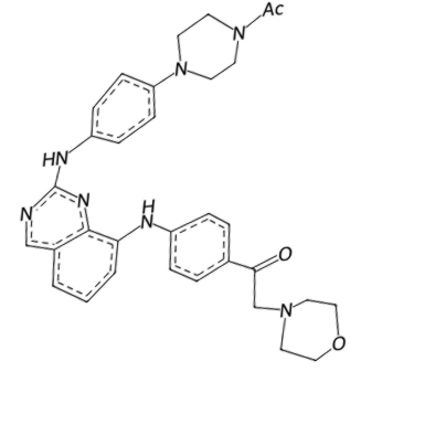 CC(=O)N1CCN(c2ccc(Nc3ncc4cccc(Nc5ccc(C(=O)CN6CCOCC6)cc5)c4n3)cc2)CC1